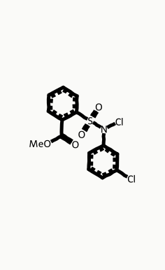 COC(=O)c1ccccc1S(=O)(=O)N(Cl)c1cccc(Cl)c1